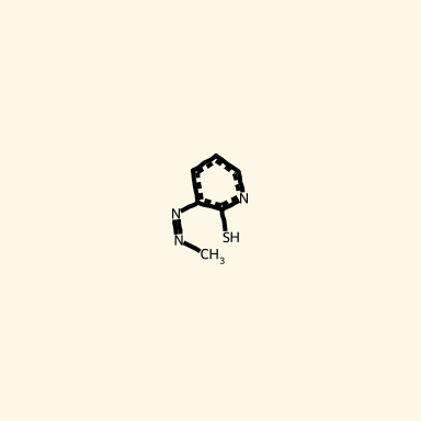 C/N=N\c1cccnc1S